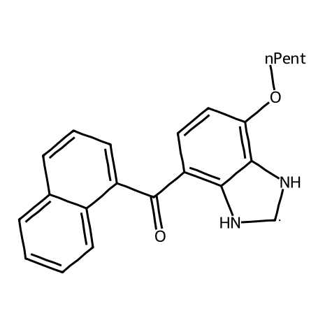 CCCCCOc1ccc(C(=O)c2cccc3ccccc23)c2c1N[CH]N2